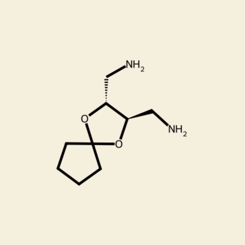 NC[C@H]1OC2(CCCC2)O[C@@H]1CN